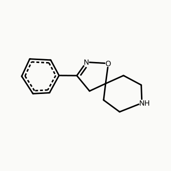 c1ccc(C2=NOC3(CCNCC3)C2)cc1